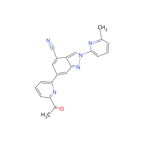 CC(=O)c1cccc(-c2cc(C#N)c3cn(-c4cccc(C)n4)nc3c2)n1